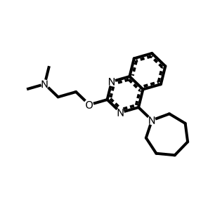 CN(C)CCOc1nc(N2CCCCCC2)c2ccccc2n1